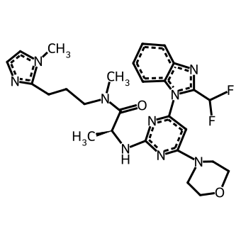 C[C@H](Nc1nc(N2CCOCC2)cc(-n2c(C(F)F)nc3ccccc32)n1)C(=O)N(C)CCCc1nccn1C